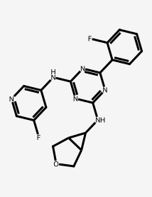 Fc1cncc(Nc2nc(NC3C4COCC43)nc(-c3ccccc3F)n2)c1